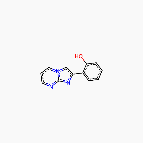 Oc1ccccc1-c1cn2cccnc2n1